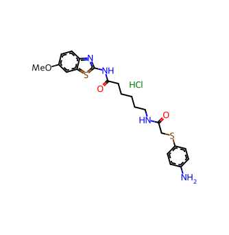 COc1ccc2nc(NC(=O)CCCCCNC(=O)CSc3ccc(N)cc3)sc2c1.Cl